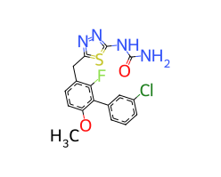 COc1ccc(Cc2nnc(NC(N)=O)s2)c(F)c1-c1cccc(Cl)c1